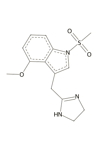 COc1cccc2c1c(CC1=NCCN1)cn2S(C)(=O)=O